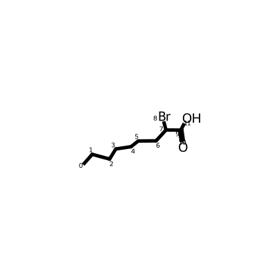 CCCCCCCC(Br)C(=O)O